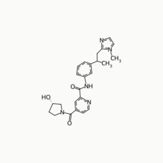 CC(Cc1nccn1C)c1cccc(NC(=O)c2cc(C(=O)N3CC[C@H](O)C3)ccn2)c1